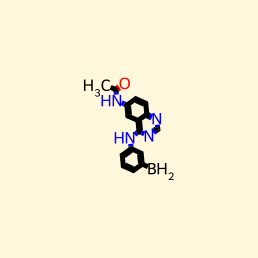 Bc1cccc(Nc2ncnc3ccc(NC(C)=O)cc23)c1